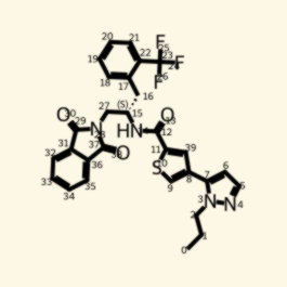 CCCn1nccc1-c1csc(C(=O)N[C@@H](Cc2ccccc2C(F)(F)F)CN2C(=O)c3ccccc3C2=O)c1